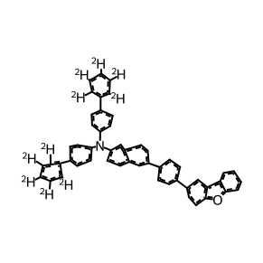 [2H]c1c([2H])c([2H])c(-c2ccc(N(c3ccc(-c4c([2H])c([2H])c([2H])c([2H])c4[2H])cc3)c3ccc4cc(-c5ccc(-c6ccc7oc8ccccc8c7c6)cc5)ccc4c3)cc2)c([2H])c1[2H]